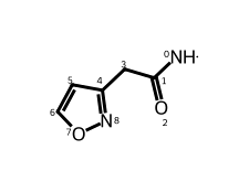 [NH]C(=O)Cc1ccon1